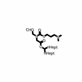 CCCCCCCC(CCCCCCC)OC(=O)CN(CC=O)C(=O)SCCCN(C)C